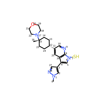 Cn1cc(-c2cn(S)c3ncc([C@H]4CC[C@@](C)(N5CCOCC5)CC4)cc23)cn1